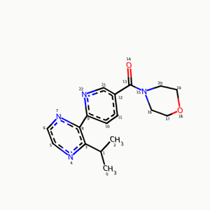 CC(C)c1nccnc1-c1ccc(C(=O)N2CCOCC2)cn1